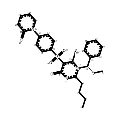 CCCCc1nc(=O)c(S(=O)(=O)c2ccc(-n3ccccc3=O)cc2)c(O)n1[C@@H](CC)c1ccccc1